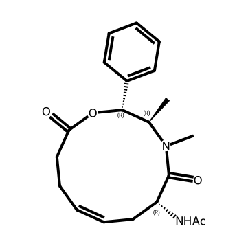 CC(=O)N[C@@H]1CC=CCCC(=O)O[C@H](c2ccccc2)[C@@H](C)N(C)C1=O